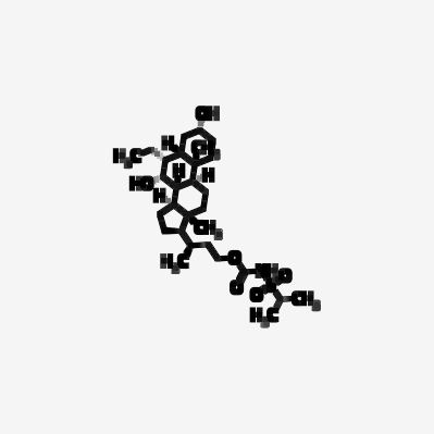 CC[C@H]1[C@@H](O)[C@@H]2[C@H](CC[C@]3(C)[C@@H]([C@H](C)CCOC(=O)NS(=O)(=O)C(C)C)CC[C@@H]23)[C@@]2(C)CC[C@@H](O)C[C@@H]12